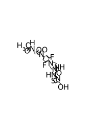 CC(=O)NC[C@H]1CN(c2cc(F)c(N3CCNN(C(=O)Nc4nc(CO)cs4)CC3)c(F)c2)C(=O)O1